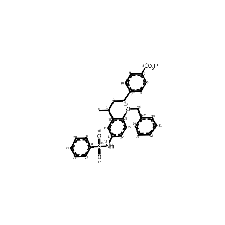 CC(CCc1ccc(C(=O)O)cc1)c1cc(NS(=O)(=O)c2ccccc2)ccc1OCc1ccccc1